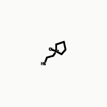 [O-][N+]1(CCS)CCCC1